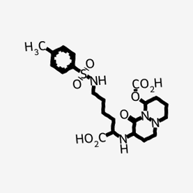 Cc1ccc(S(=O)(=O)NCCCCC(NC2CCN3CCCC(OC(=O)O)N3C2=O)C(=O)O)cc1